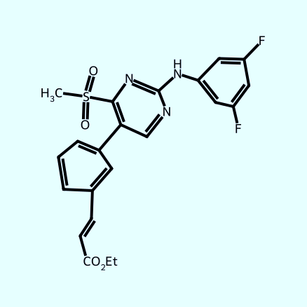 CCOC(=O)/C=C/c1cccc(-c2cnc(Nc3cc(F)cc(F)c3)nc2S(C)(=O)=O)c1